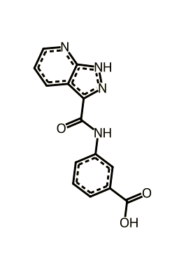 O=C(O)c1cccc(NC(=O)c2n[nH]c3ncccc23)c1